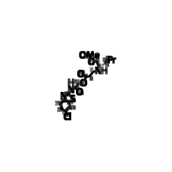 COC(=O)[C@H](CC(C)C)NCCC(=O)OCC(=O)Nc1nc2ccc(Cl)cc2s1